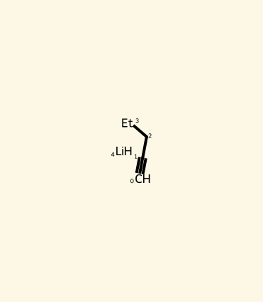 C#CCCC.[LiH]